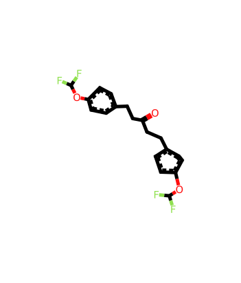 O=C(CCc1ccc(OC(F)F)cc1)CCc1ccc(OC(F)F)cc1